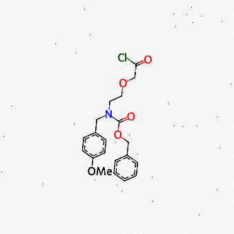 COc1ccc(CN(CCOCC(=O)Cl)C(=O)OCc2ccccc2)cc1